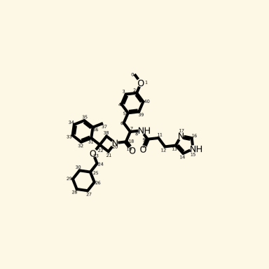 COc1ccc(CC(NC(=O)CCc2c[nH]cn2)C(=O)N2CC(OCC3CCCCC3)(c3ccccc3C)C2)cc1